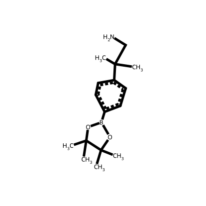 CC(C)(CN)c1ccc(B2OC(C)(C)C(C)(C)O2)cc1